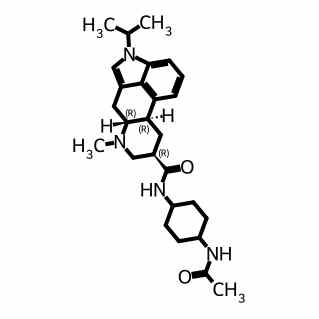 CC(=O)NC1CCC(NC(=O)[C@@H]2C[C@@H]3c4cccc5c4c(cn5C(C)C)C[C@H]3N(C)C2)CC1